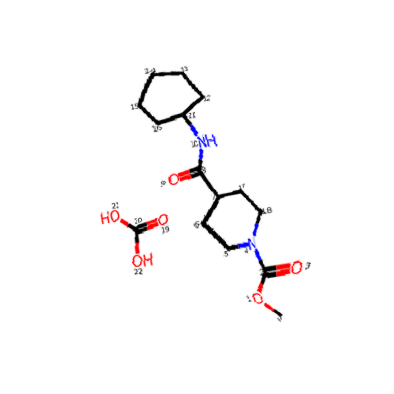 COC(=O)N1CCC(C(=O)NC2CCCCC2)CC1.O=C(O)O